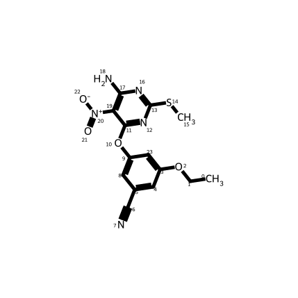 CCOc1cc(C#N)cc(Oc2nc(SC)nc(N)c2[N+](=O)[O-])c1